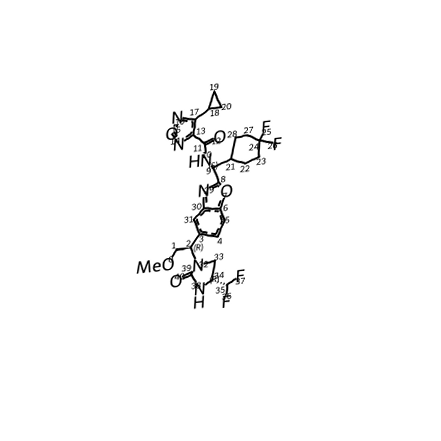 COC[C@@H](c1ccc2oc([C@@H](NC(=O)c3nonc3C3CC3)C3CCC(F)(F)CC3)nc2c1)N1C[C@H](C(F)F)NC1=O